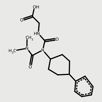 CN(C)C(=O)N(C(=O)NCC(=O)O)C1CCC(c2ccccc2)CC1